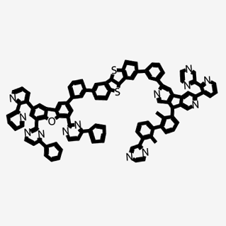 Cc1c(-c2cnccn2)cccc1-c1cccc(C2c3cnc(-c4cccc(-c5ccc6c(c5)C5Sc7ccc(-c8cccc(-c9cc(-c%10nccc(-c%11ccccc%11)n%10)c%10oc%11c(-c%12nccc(-c%13ccccc%13)n%12)cc(-c%12cccnc%12-c%12ccccn%12)cc%11c%10c9)c8)cc7C5S6)c4)cc3-c3cc(-c4cccnc4-c4cnccn4)ncc32)c1C